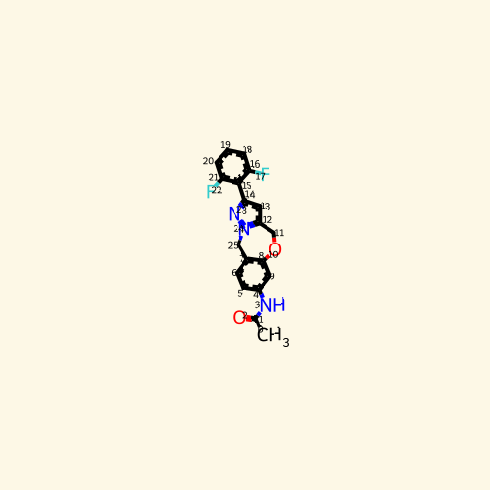 CC(=O)Nc1ccc2c(c1)OCc1cc(-c3c(F)cccc3F)nn1C2